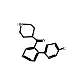 O=C(c1ccccc1-c1ccc(Cl)cc1)C1CCNCC1